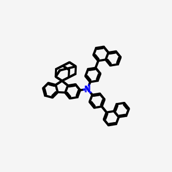 c1ccc2c(c1)-c1ccc(N(c3ccc(-c4cccc5ccccc45)cc3)c3ccc(-c4cccc5ccccc45)cc3)cc1C21C2CC3CC(C2)CC1C3